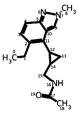 CCc1ccc2nn(C)cc2c1C1CC1CNC(C)=O